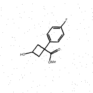 COC(=O)C1(c2ccc(F)cc2)CC(O)C1